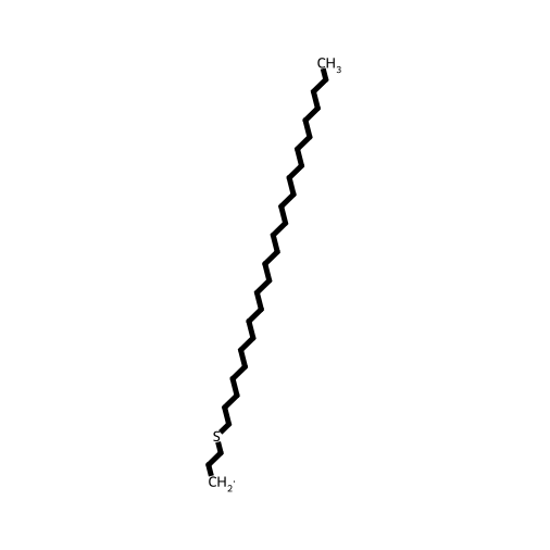 [CH2]CCSCCCCCCCCCCCCCCCCCCCCCCCCCC